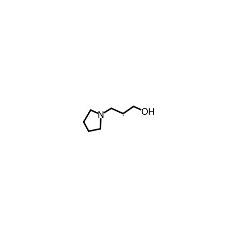 OC[CH]CN1CCCC1